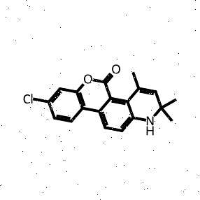 CC1=CC(C)(C)Nc2ccc3c(c21)c(=O)oc1cc(Cl)ccc13